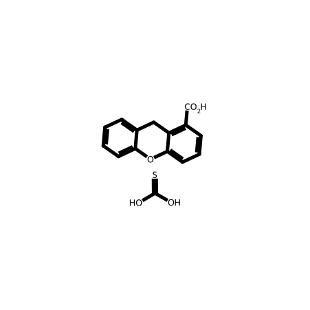 O=C(O)c1cccc2c1Cc1ccccc1O2.OC(O)=S